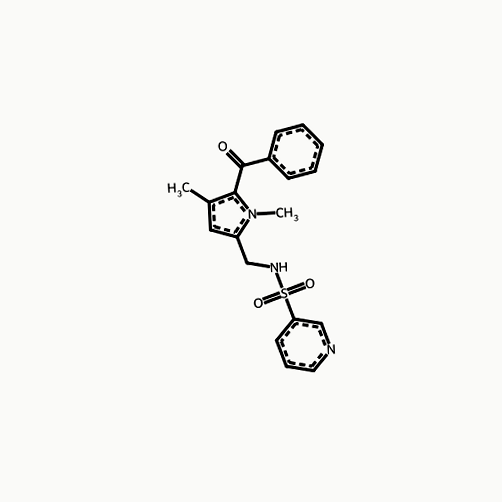 Cc1cc(CNS(=O)(=O)c2cccnc2)n(C)c1C(=O)c1ccccc1